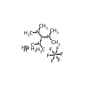 Br.CN(C)P(N(C)C)N(C)C.F[P-](F)(F)(F)(F)F.[H+]